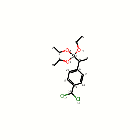 CCO[Si](OCC)(OCC)C(C)c1ccc(C(Cl)Cl)cc1